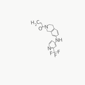 C=CC(=O)N1CCc2ccc(Nc3ccnc(C(F)(F)F)c3)cc2C1